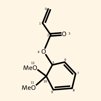 C=CC(=O)OC1C=CC=CC1(OC)OC